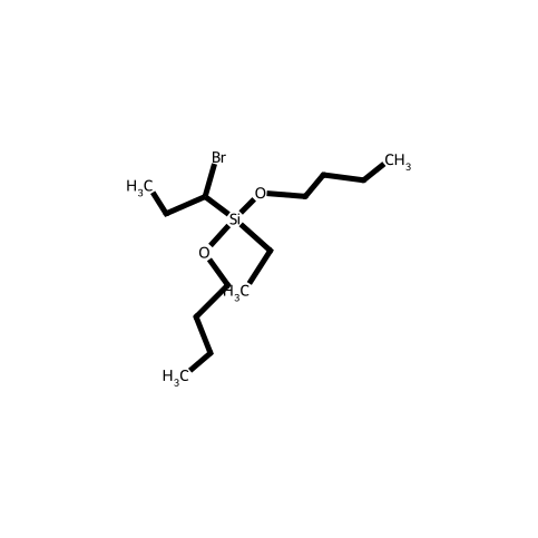 CCCCO[Si](CC)(OCCCC)C(Br)CC